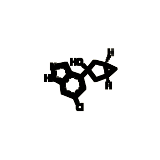 O[C@@]1(c2cc(Cl)cc3[nH]ncc23)C[C@H]2C[C@H]2C1